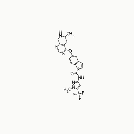 CC1Cc2c(ncnc2Oc2ccc3c(ccn3C(=O)Nc3cc(C(F)(F)F)n(C)n3)c2)CN1